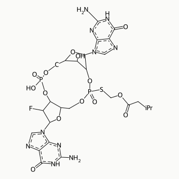 CC(C)CC(=O)OCSP1(=O)OCC2OC(n3cnc4c(=O)[nH]c(N)nc43)C(F)C2OP(=O)(O)OCC2OC(n3cnc4c(=O)[nH]c(N)nc43)C(O1)C2O